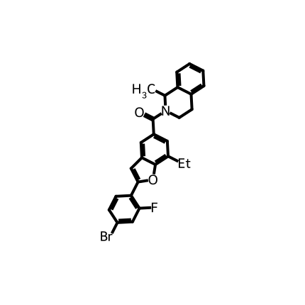 CCc1cc(C(=O)N2CCc3ccccc3C2C)cc2cc(-c3ccc(Br)cc3F)oc12